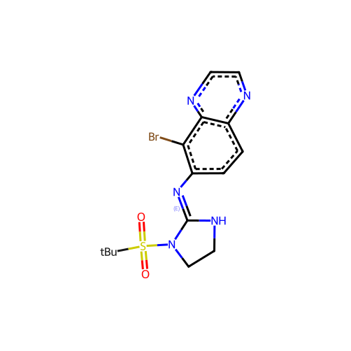 CC(C)(C)S(=O)(=O)N1CCN/C1=N\c1ccc2nccnc2c1Br